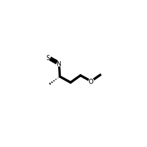 COCC[C@H](C)N=S